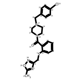 Cc1nc(CSc2ccccc2C(=O)N2CCN(Cc3ccc(Cl)cc3)CC2)no1